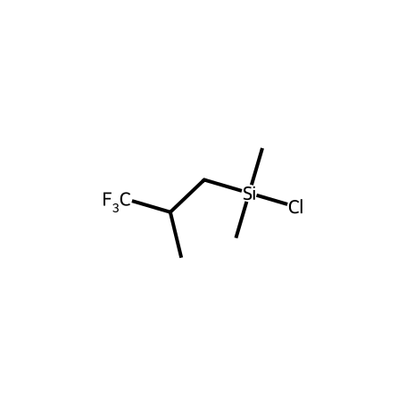 CC(C[Si](C)(C)Cl)C(F)(F)F